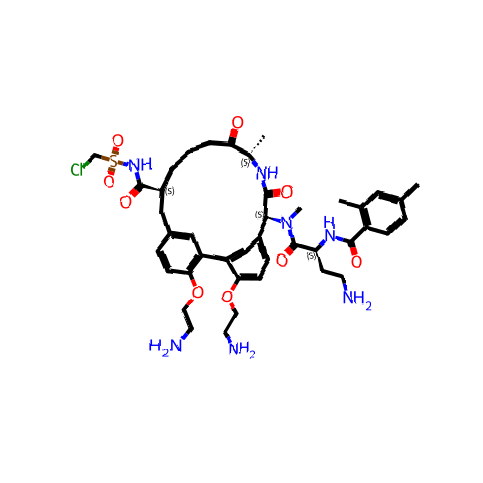 Cc1ccc(C(=O)N[C@@H](CCN)C(=O)N(C)[C@@H]2C(=O)N[C@@H](C)C(=O)CCC[C@H](C(=O)NS(=O)(=O)CCl)Cc3ccc(OCCN)c(c3)-c3cc2ccc3OCCN)c(C)c1